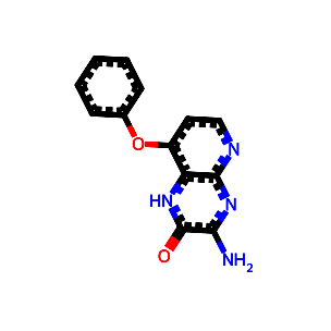 Nc1nc2nccc(Oc3ccccc3)c2[nH]c1=O